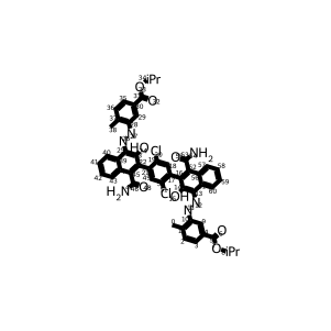 Cc1ccc(C(=O)OC(C)C)cc1N=Nc1c(O)c(-c2cc(Cl)c(-c3c(O)c(N=Nc4cc(C(=O)OC(C)C)ccc4C)c4ccccc4c3C(N)=O)cc2Cl)c(C(N)=O)c2ccccc12